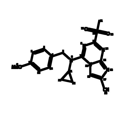 COc1ccc(CN(c2nc(S(C)(=O)=O)nc3nc(C#N)cn23)C2CC2)cc1